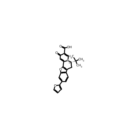 CC(C)(C)[C@@H]1Cc2c(oc3cc(-c4ccco4)ccc23)-c2cc(=O)c(C(=O)O)cn21